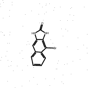 O=c1[nH]c2cc3ccccc3c(Br)c2[nH]1